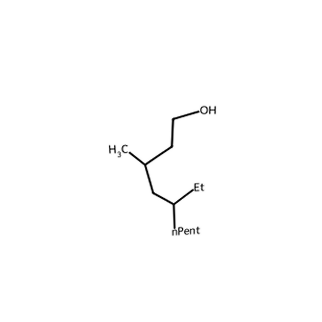 CCCCCC(CC)CC(C)CCO